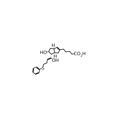 O=C(O)CCCCC1=C[C@@H]2C[C@H](O)[C@@H](C(O)=CCCSc3ccccc3)[C@@H]2C1